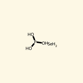 OP(O)O.[SeH2]